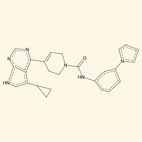 O=C(Nc1cccc(-n2cccc2)c1)N1CC=C(c2ncnc3[nH]cc(C4CC4)c23)CC1